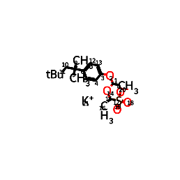 CC(Oc1ccc(C(C)(C)CC(C)(C)C)cc1)OC(C)S(=O)(=O)[O-].[K+]